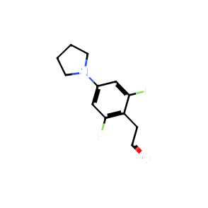 O=CCc1c(F)cc(N2CCCC2)cc1F